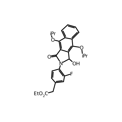 CCOC(=O)Cc1ccc(N2C(=O)c3c(c(OC(C)C)c4ccccc4c3OC(C)C)C2O)c(F)c1